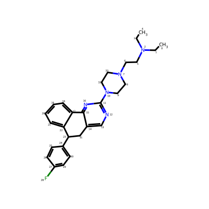 CCN(CC)CCN1CCN(c2ncc3c(n2)-c2ccccc2C(c2ccc(F)cc2)C3)CC1